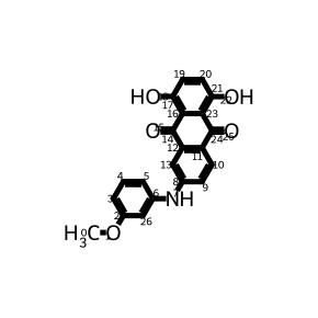 COc1cccc(Nc2ccc3c(c2)C(=O)c2c(O)ccc(O)c2C3=O)c1